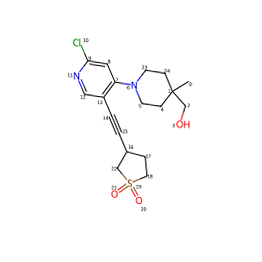 CC1(CO)CCN(c2cc(Cl)ncc2C#CC2CCS(=O)(=O)C2)CC1